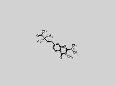 C[C@@H](O)c1nc2cc(/C=C/C(C)(C)C(=O)O)ccc2c(=O)n1C